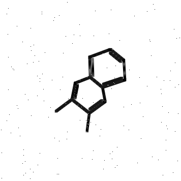 Cc1cc2ccccc2cc1C